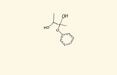 CC(O)C(C)(O)Oc1ccccc1